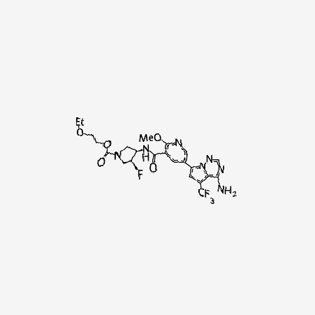 CCOCCOC(=O)N1C[C@H](F)[C@H](NC(=O)c2cc(-c3cc(C(F)(F)F)c4c(N)ncnn34)cnc2OC)C1